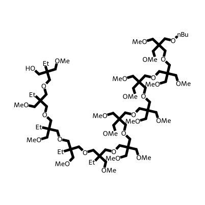 CCCCOCC(COC)(COC)COCC(COC)(COC)COCC(COC)(COC)COCC(COC)(COC)COCC(COC)(COC)COCC(COC)(COC)COCC(CC)(COC)COCC(CC)(COC)COCC(CC)(COC)COCC(CC)(COC)COCC(CC)(CO)COC